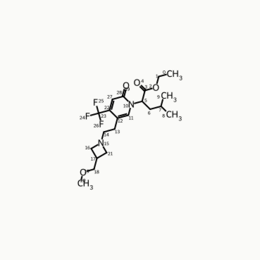 CCOC(=O)C(CC(C)C)n1cc(CCN2CC(COC)C2)c(C(F)(F)F)cc1=O